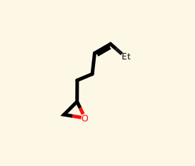 CC/C=C\CCC1CO1